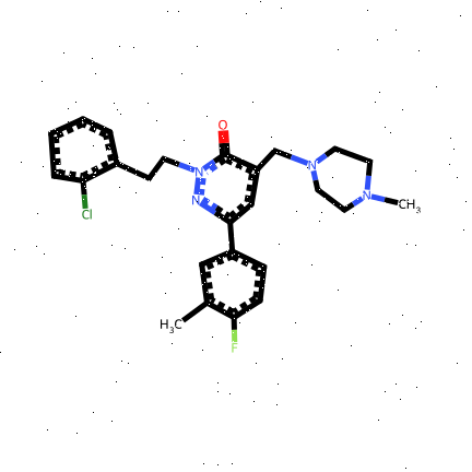 Cc1cc(-c2cc(CN3CCN(C)CC3)c(=O)n(CCc3ccccc3Cl)n2)ccc1F